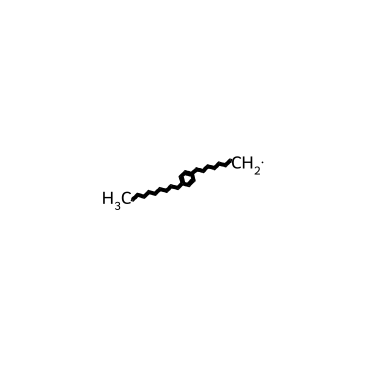 [CH2]CCCCCCCc1ccc(CCCCCCCCCC)cc1